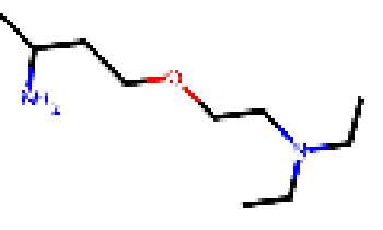 CCN(CC)CCOCCC(C)N